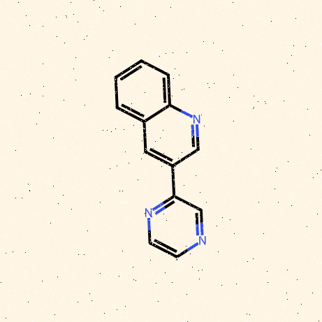 [c]1cnc(-c2cnc3ccccc3c2)cn1